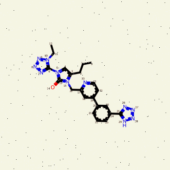 CCCc1cn(-c2nnnn2CC)c(=O)n1Cc1cc(-c2cccc(-c3nnn[nH]3)c2)ccn1